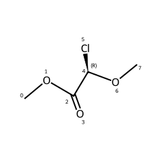 COC(=O)[C@@H](Cl)OC